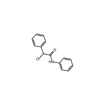 O=C(Nc1ccccc1)C(Cl)c1ccccc1